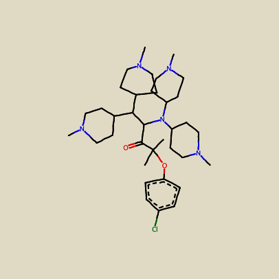 CN1CCC(C(C2CCN(C)CC2)C(C(=O)C(C)(C)Oc2ccc(Cl)cc2)N(C2CCN(C)CC2)C2CCN(C)CC2)CC1